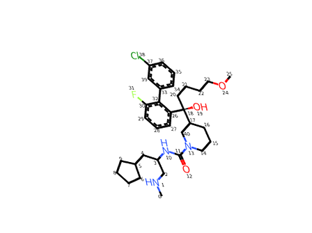 CNCC(CC1CCCC1)NC(=O)N1CCCC([C@@](O)(CCCCOC)c2cccc(F)c2-c2cccc(Cl)c2)C1